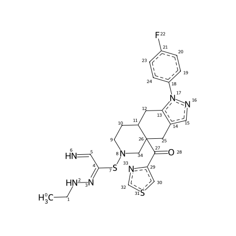 CCN/N=C(\C=N)SN1CCC2Cc3c(cnn3-c3ccc(F)cc3)CC2(C(=O)c2cscn2)C1